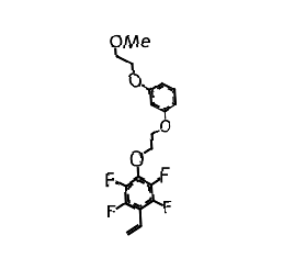 C=Cc1c(F)c(F)c(OCCOc2cccc(OCCOC)c2)c(F)c1F